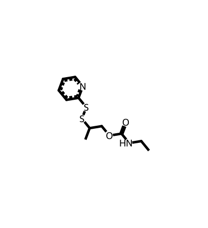 CCNC(=O)OCC(C)SSc1ccccn1